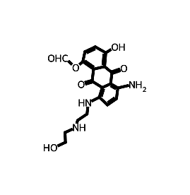 Nc1ccc(NCCNCCO)c2c1C(=O)c1c(O)ccc(OC=O)c1C2=O